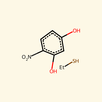 CCS.O=[N+]([O-])c1ccc(O)cc1O